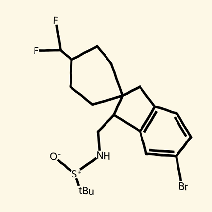 CC(C)(C)[S+]([O-])NCC1c2cc(Br)ccc2CC12CCC(C(F)F)CC2